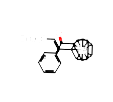 CCOC(=O)C=C(C)[C]12[CH]3[CH]4[CH]5[CH]1[Fe]45321678[CH]2[CH]1[CH]6[C]7(C(=O)c1ccccc1)[CH]28